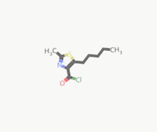 CCCCCc1sc(C)nc1C(=O)Cl